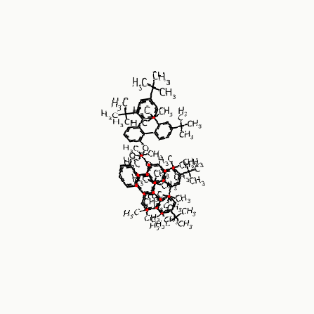 CC(C)(C)c1ccc(-c2cccc(OP(Oc3cccc(-c4ccc(C(C)(C)C)cc4C(C)(C)C)c3-c3ccc(C(C)(C)C)cc3C(C)(C)C)Oc3cccc(-c4ccc(C(C)(C)C)cc4C(C)(C)C)c3-c3ccc(C(C)(C)C)cc3C(C)(C)C)c2-c2ccc(C(C)(C)C)cc2C(C)(C)C)c(C(C)(C)C)c1